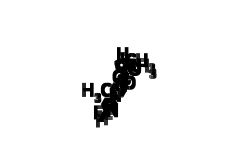 C[C@H]1CN(S(=O)(=O)C[C@]23CC[C@H](CC2=O)C3(C)C)CCN1c1ccc(C(F)(F)F)nc1